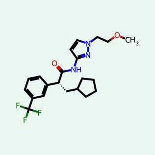 COCCn1ccc(NC(=O)[C@H](CC2CCCC2)c2cccc(C(F)(F)F)c2)n1